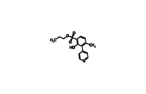 CCCOS(=O)(=O)c1ccc(C)c(-c2ccncc2)c1O